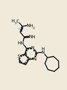 C/C(N)=C/C(=N)Nc1nc(NC2CCCCCC2)nc2ccsc12